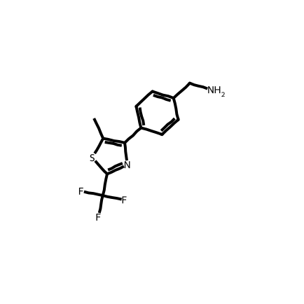 Cc1sc(C(F)(F)F)nc1-c1ccc(CN)cc1